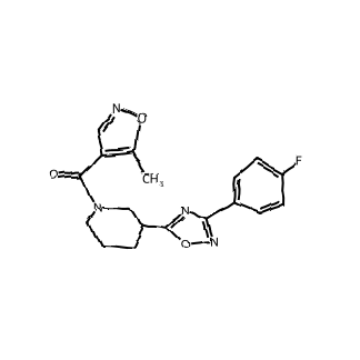 Cc1oncc1C(=O)N1CCCC(c2nc(-c3ccc(F)cc3)no2)C1